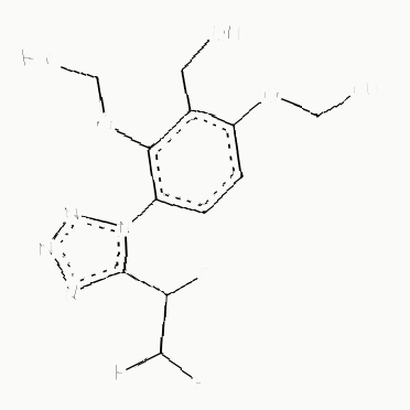 CCOc1ccc(-n2nnnc2C(F)C(F)F)c(OCC)c1CO